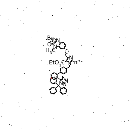 CCCc1nc(COc2ccc([N+](=O)[O-])c(N(C)C(=O)OC(C)(C)C)c2)c(C(=O)OCC)n1Cc1ccc(-c2ccccc2-c2nnnn2C(c2ccccc2)(c2ccccc2)c2ccccc2)cc1